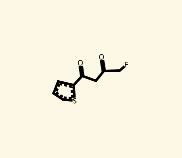 O=C(CF)CC(=O)c1cccs1